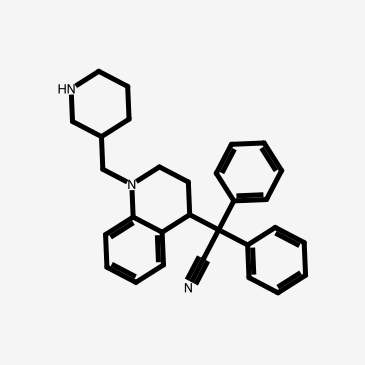 N#CC(c1ccccc1)(c1ccccc1)C1CCN(CC2CCCNC2)c2ccccc21